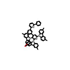 Cc1ccc2c(c1)c1cc(C)ccc1n2-c1cc(-c2cccc(-c3cccc(-c4ccccc4)n3)c2)c(-n2c3ccc(C)cc3c3cc(C)ccc32)c(-n2c3ccc(C)cc3c3cc(C)ccc32)n1